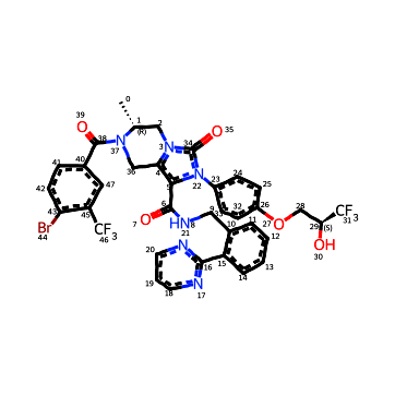 C[C@@H]1Cn2c(c(C(=O)NCc3ccccc3-c3ncccn3)n(-c3ccc(OC[C@H](O)C(F)(F)F)cc3)c2=O)CN1C(=O)c1ccc(Br)c(C(F)(F)F)c1